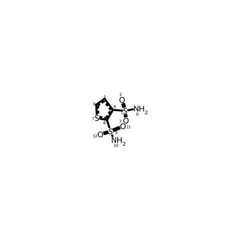 NS(=O)(=O)c1ccsc1S(N)(=O)=O